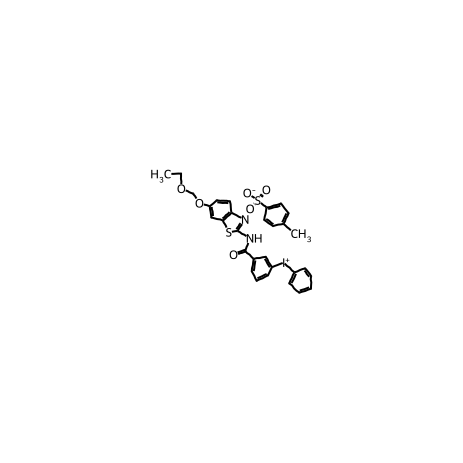 CCOCOc1ccc2nc(NC(=O)c3cccc([I+]c4ccccc4)c3)sc2c1.Cc1ccc(S(=O)(=O)[O-])cc1